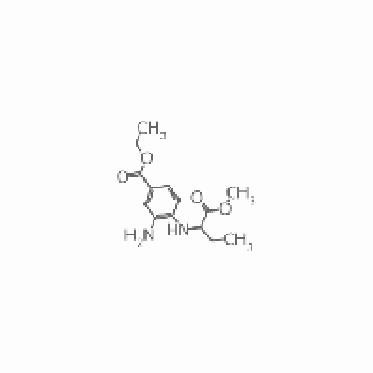 CCOC(=O)c1ccc(NC(CC)C(=O)OC)c(N)c1